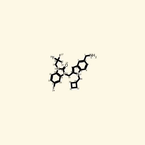 NCc1ccc2c(c1)cc(Cn1c(=O)n(CC(F)(F)F)c3ccc(F)cc31)n2CC1CCC1